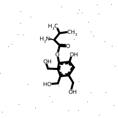 CC(C)[C@H](N)C(=O)Oc1c(O)cc(CO)c(CO)c1CO